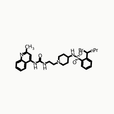 CCCC(Br)c1ccccc1S(=O)(=O)NC1CCN(CCNC(=O)Nc2cc(C)nc3ccccc23)CC1